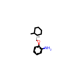 CC1CCCC[C@@H]1COc1ccccc1N